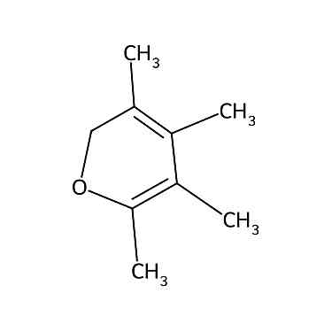 CC1=C(C)C(C)=C(C)OC1